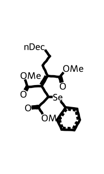 CCCCCCCCCCCCC(C(=O)OC)=C(C(=O)OC)C([Se]c1ccccc1)C(=O)OC